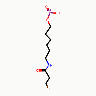 O=C(CCS)NCCCCCCO[PH](=O)O